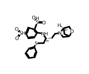 O=[SH](=O)c1ccc(N[C@H](CCN2CC3C[C@@H]2CO3)CSc2ccccc2)c([SH](=O)=O)c1